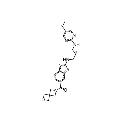 CSc1cnc(NC[C@H](C)CNc2nc3ccc(C(=O)N4CC5(COC5)C4)cc3s2)nc1